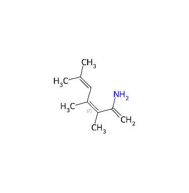 C=C(N)/C(C)=C(/C)C=C(C)C